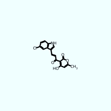 Cc1cc(O)c(C(=O)C=Cc2c[nH]c3ccc(Cl)cc23)c(=O)o1